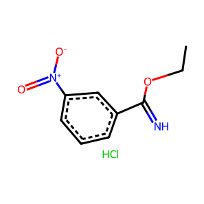 CCOC(=N)c1cccc([N+](=O)[O-])c1.Cl